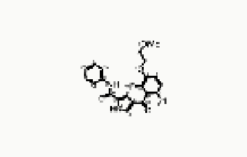 COCCOc1ccc(Cl)c(C(=O)c2c[nH]c(C(=O)Nc3cccnc3)c2)c1F